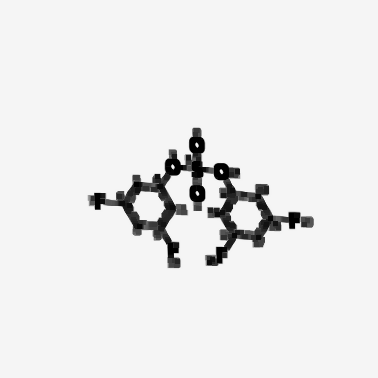 O=S(=O)(Oc1cc(F)cc(F)c1)Oc1cc(F)cc(F)c1